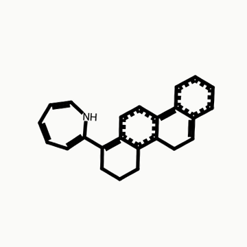 C1=CC=C(C2=c3ccc4c(c3CCC2)CC=c2ccccc2=4)NC=C1